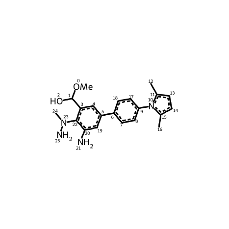 COC(O)c1cc(-c2ccc(-n3c(C)ccc3C)cc2)cc(N)c1N(C)N